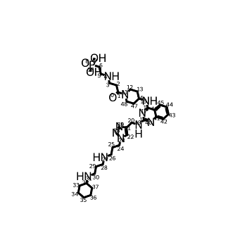 O=C(CCNCCP(=O)(O)O)N1CCC(Nc2nc(NCc3cn(CCCNCCCNC4CCCCC4)nn3)nc3ccccc23)CC1